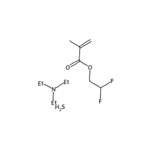 C=C(C)C(=O)OCC(F)F.CCN(CC)CC.S